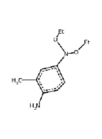 CCON(OCC)c1ccc(N)c(C)c1